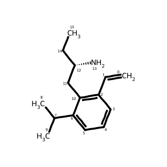 C=Cc1cccc(C(C)C)c1C[C@@H](N)CC